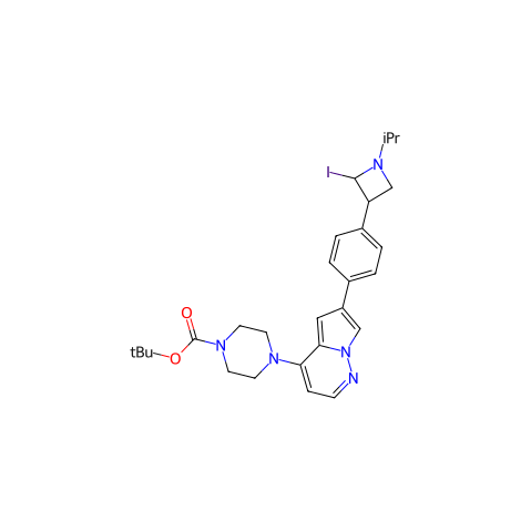 CC(C)N1CC(c2ccc(-c3cc4c(N5CCN(C(=O)OC(C)(C)C)CC5)ccnn4c3)cc2)C1I